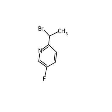 CC(Br)c1ccc(F)cn1